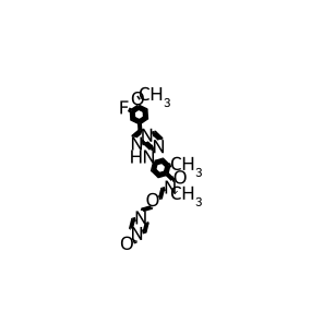 COc1ccc(-c2cnc3c(Nc4ccc(C(=O)N(C)CCOCCN5CCN(C=O)CC5)c(C)c4)nccn23)cc1F